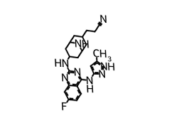 Cc1cc(Nc2nc(NC3CC4CC(CCC#N)CC(C3)N4)nc3cc(F)ccc23)n[nH]1